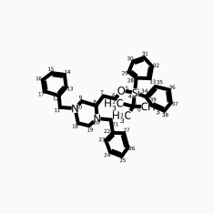 CC(C)(C)[Si](OCCC1CN(Cc2ccccc2)CCN1Cc1ccccc1)(c1ccccc1)c1ccccc1